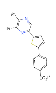 CC(C)c1ncc(-c2ccc(-c3ccc(C(=O)O)cc3)s2)nc1C(C)C